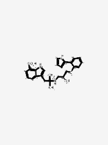 CC(C)(Cc1c[nH]c2c(C(=O)O)cccc12)NC[C@H](O)COc1ccccc1-c1cccs1